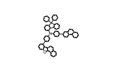 c1ccc(C2(c3ccccc3)c3ccccc3-c3c(N(c4ccc(-c5ccc6c(ccc7ccccc76)c5)cc4)c4ccc(-c5cccc6oc7c8ccccc8ccc7c56)cc4)cccc32)cc1